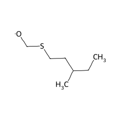 CCC(C)CCSC[O]